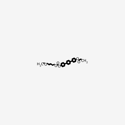 C=COC/C=C/CCOC(=O)Oc1ccc(-c2ccc(-c3ccc(OC(=O)C=C)cc3)cc2)cc1